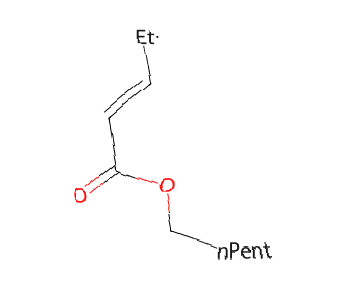 C[CH]C=CC(=O)OCCCCCC